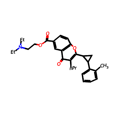 CCCc1c(C2CC2c2ccccc2C)oc2ccc(C(=O)OCCN(CC)CC)cc2c1=O